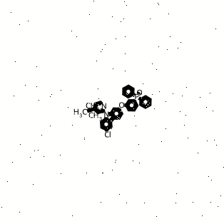 CC(C)(C)c1ccnc(-n2c3ccc(Cl)cc3c3ccc(Oc4cccc(P(=O)(c5ccccc5)c5ccccc5)c4)cc32)c1